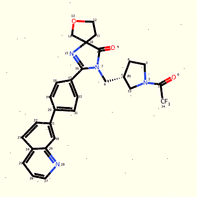 O=C(N1CC[C@@H](CN2C(=O)C3(CCOC3)N=C2c2ccc(-c3ccc4cccnc4c3)cc2)C1)C(F)(F)F